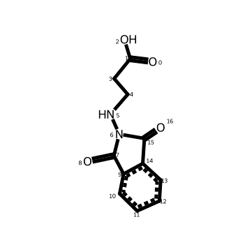 O=C(O)CCNN1C(=O)c2ccccc2C1=O